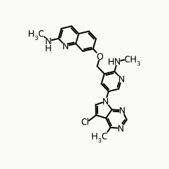 CNc1ccc2ccc(OCc3cc(-n4cc(Cl)c5c(C)ncnc54)cnc3NC)cc2n1